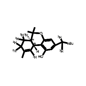 [2H]C1=C(C)C([2H])([2H])C([2H])([2H])[C@]2([2H])[C@@H]1c1c(O)cc(C([2H])([2H])CCCC)cc1OC2(C)C